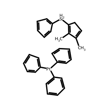 CC1=CCC([SiH2]c2ccccc2)=C1C.c1cc[c]([Pt]([c]2ccccc2)[c]2ccccc2)cc1